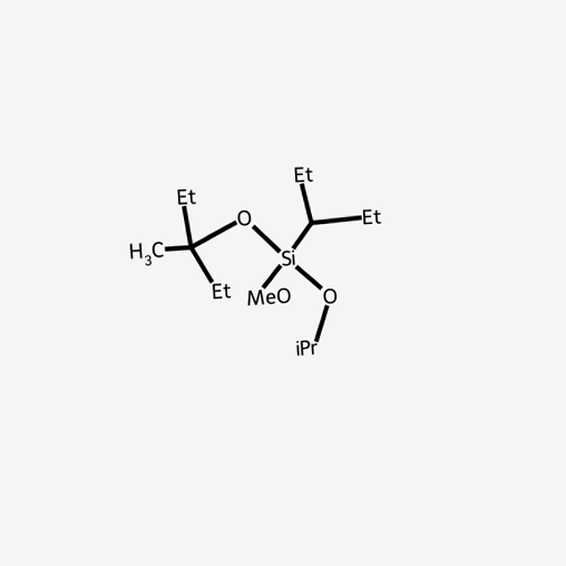 CCC(CC)[Si](OC)(OC(C)C)OC(C)(CC)CC